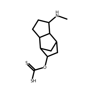 CNC1CCC2C3CC(CC3OC(=S)S)C12